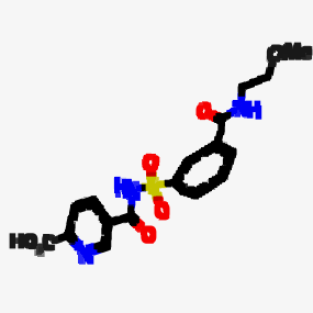 COCCNC(=O)c1cccc(S(=O)(=O)NC(=O)c2ccc(C(=O)O)nc2)c1